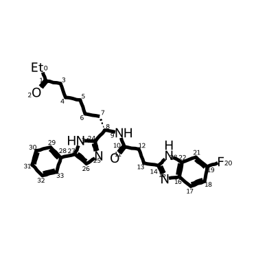 CCC(=O)CCCCC[C@H](NC(=O)CCc1nc2ccc(F)cc2[nH]1)c1ncc(-c2ccccc2)[nH]1